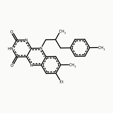 CCc1cc2nc3c(=O)[nH]c(=O)nc-3n(CC(C)Cc3ccc(C)cc3)c2cc1C